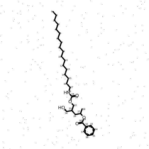 CCCCCCCCCCCCCCCCCCNC(=O)OCC(CO)CC(C)OC(=O)c1ccccc1